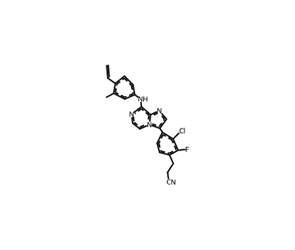 C=Cc1ccc(Nc2nccn3c(-c4ccc(CCC#N)c(F)c4Cl)cnc23)cc1C